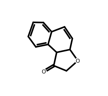 O=C1COC2C=Cc3ccccc3C12